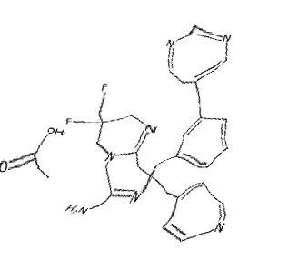 CC(=O)O.NC1=NC(c2ccncc2)(c2cccc(-c3cncnc3)c2)C2=NCC(F)(F)CN12